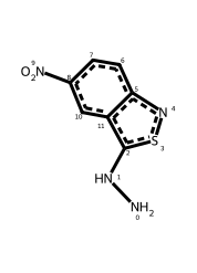 NNc1snc2ccc([N+](=O)[O-])cc12